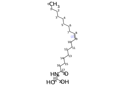 CCCCCCCC/C=C\CCCCCCCC(=O)NC(O)O